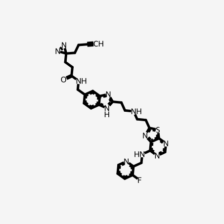 C#CCCC1(CCC(=O)NCc2ccc3[nH]c(CCNCCc4nc5c(NCc6ncccc6F)ncnc5s4)nc3c2)N=N1